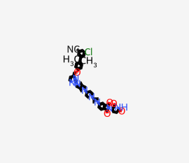 CC(C)(c1ccc(OCc2ccnc(N3CC4CN(C5CCN(C6CN(c7ccc8c(c7)C(=O)N(C7CCC(=O)NC7=O)C8=O)C6)CC5)CC4C3)n2)cc1)c1cc(Cl)cc(C#N)c1